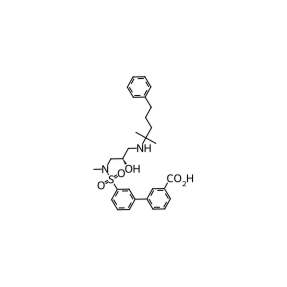 CN(C[C@H](O)CNC(C)(C)CCCc1ccccc1)S(=O)(=O)c1cccc(-c2cccc(C(=O)O)c2)c1